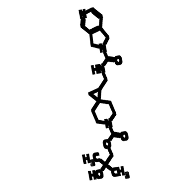 CC(C)(O)COC(=O)N1CCC2(CC1)CC2CNC(=O)N1Cc2ccncc2C1